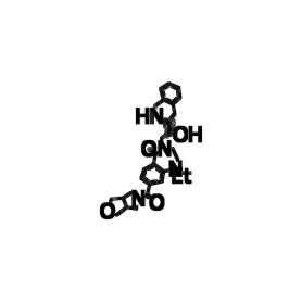 CCN1CCN(C[C@@H](O)[C@@H]2Cc3ccccc3CN2)C(=O)c2ccc(C(=O)N3CC4COCC4C3)cc21